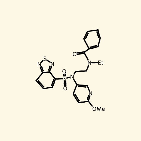 CCN(CCN(c1ccc(OC)nc1)S(=O)(=O)c1cccc2nsnc12)C(=O)c1ccccc1